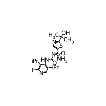 CC(C)c1cnc(F)c(C(C)C)c1NC(=O)N=[S@@](N)(=O)c1cnc(C(C)(C)O)s1